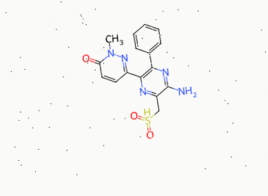 Cn1nc(-c2nc(C[SH](=O)=O)c(N)nc2-c2ccccc2)ccc1=O